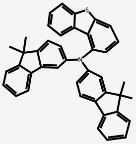 CC1(C)c2ccccc2-c2cc(N(c3ccc4c(c3)C(C)(C)c3ccccc3-4)c3cccc4sc5ccccc5c34)ccc21